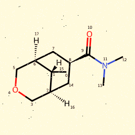 C[C@@H]1[C@@H]2COC[C@H]1C[C@@H](C(=O)N(C)C)C2